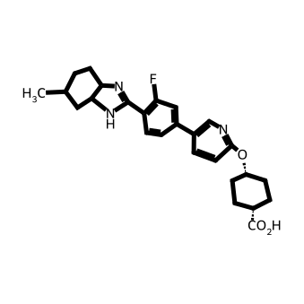 CC1CCC2N=C(c3ccc(-c4ccc(O[C@H]5CC[C@@H](C(=O)O)CC5)nc4)cc3F)NC2C1